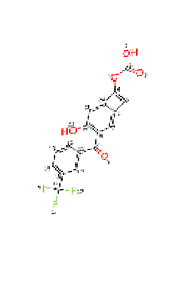 O=C(O)OC1=Cc2cc(C(=O)c3cccc(C(F)(F)F)c3)c(O)cc21